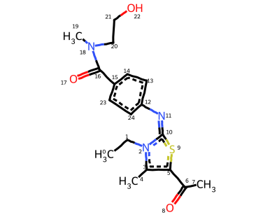 CCn1c(C)c(C(C)=O)sc1=Nc1ccc(C(=O)N(C)CCO)cc1